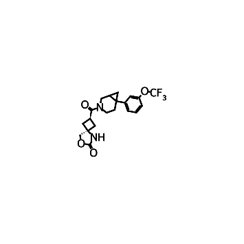 O=C1N[C@]2(CO1)C[C@H](C(=O)N1CCC3(c4cccc(OC(F)(F)F)c4)CC3C1)C2